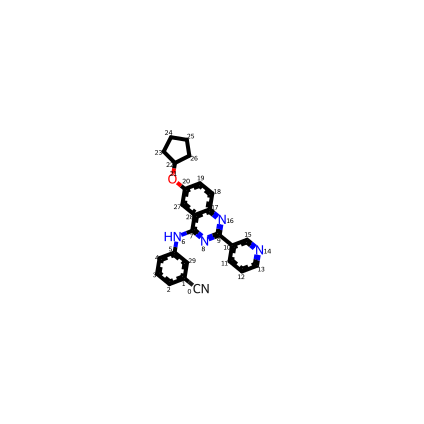 N#Cc1cccc(Nc2nc(-c3cccnc3)nc3ccc(OC4CCCC4)cc23)c1